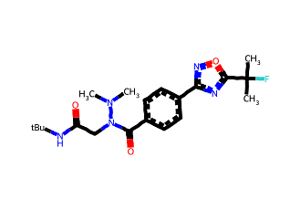 CN(C)N(CC(=O)NC(C)(C)C)C(=O)c1ccc(-c2noc(C(C)(C)F)n2)cc1